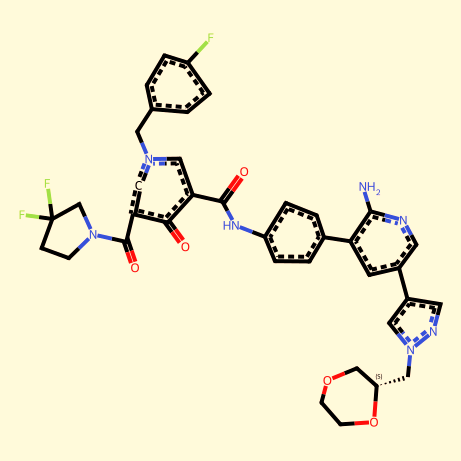 Nc1ncc(-c2cnn(C[C@H]3COCCO3)c2)cc1-c1ccc(NC(=O)c2cn(Cc3ccc(F)cc3)cc(C(=O)N3CCC(F)(F)C3)c2=O)cc1